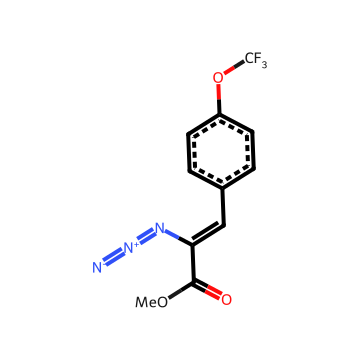 COC(=O)C(=Cc1ccc(OC(F)(F)F)cc1)N=[N+]=[N-]